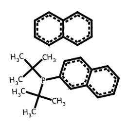 CC(C)(C)P(c1[c]c2ccccc2cc1)C(C)(C)C.[c]1cccc2ccccc12